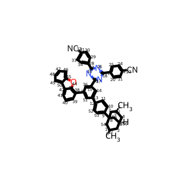 C[C@@H]1C[C@@H]2C[C@H](C)CC(c3ccc(-c4cc(-c5nc(-c6ccc(C#N)cc6)nc(-c6ccc(C#N)cc6)n5)cc(-c5cccc6c5oc5ccccc56)c4)cc3)(C1)C2